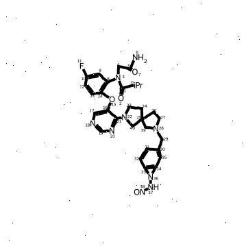 CC(C)C(=O)N(CC(N)=O)c1cc(F)ccc1Oc1cncnc1N1CCC2(CCN(Cc3ccc4c(c3)N4NN=O)C2)C1